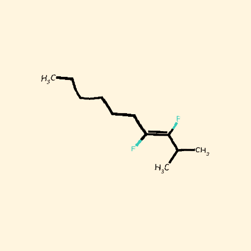 CCCCCCC(F)=C(F)C(C)C